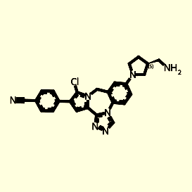 N#Cc1ccc(-c2cc3n(c2Cl)Cc2cc(N4CC[C@@H](CN)C4)ccc2-n2cnnc2-3)cc1